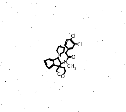 CN(C(=O)Cc1ccc(Cl)c(Cl)c1)C1C(N2CCCC2)c2ccccc2C12CCOCC2